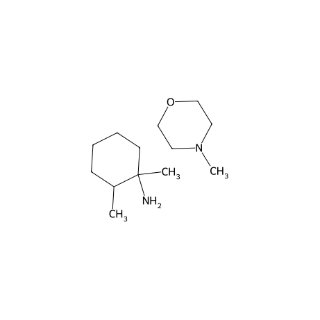 CC1CCCCC1(C)N.CN1CCOCC1